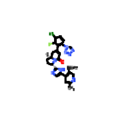 CC(=O)Nc1cnc(C(F)(F)F)cc1-c1cnc([C@@H]2CC[C@H]3CC(c4c(-n5cnnn5)ccc(Cl)c4F)=CC(=O)N32)[nH]1